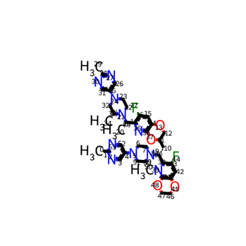 Cc1ncc(N2CCN([C@H](CC3COc4cc(F)c([C@H](C)N5CCN(c6cnc(C)nc6)C[C@H]5C)nc4O3)c3nc4c(cc3F)OCCO4)[C@H](C)C2)cn1